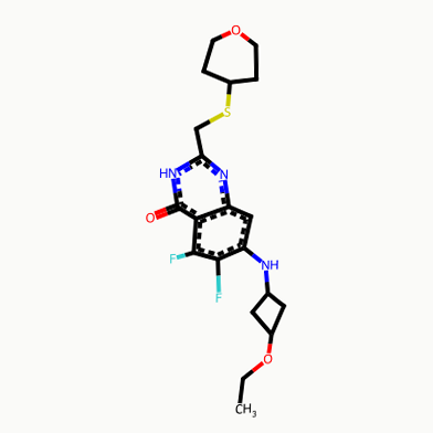 CCOC1CC(Nc2cc3nc(CSC4CCOCC4)[nH]c(=O)c3c(F)c2F)C1